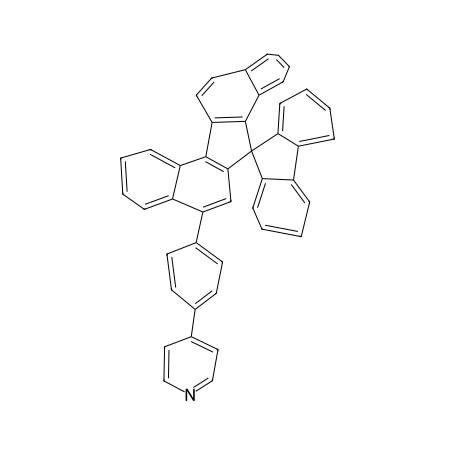 c1ccc2c(c1)-c1ccccc1C21c2cc(-c3ccc(-c4ccncc4)cc3)c3ccccc3c2-c2ccc3ccccc3c21